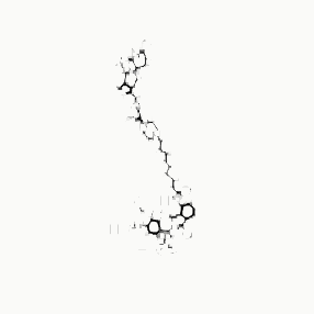 CCOc1cc(C(CS(C)(=O)=O)N2C(=O)c3cccc(NC(=O)CCCCCCCCN4CCN(C(=O)COCc5scc6c5CN(C5CCC(=O)NC5=O)C6=O)CC4)c3C2=O)ccc1OC